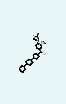 COc1cc(C(=O)c2ccc(-c3ccc(-c4ccccc4)cc3)cc2)ccc1-n1cnc(C)c1